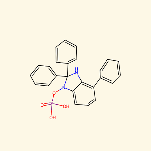 O=P(O)(O)ON1c2cccc(-c3ccccc3)c2NC1(c1ccccc1)c1ccccc1